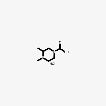 CC1CN(C(=O)O)CCN1C.Cl